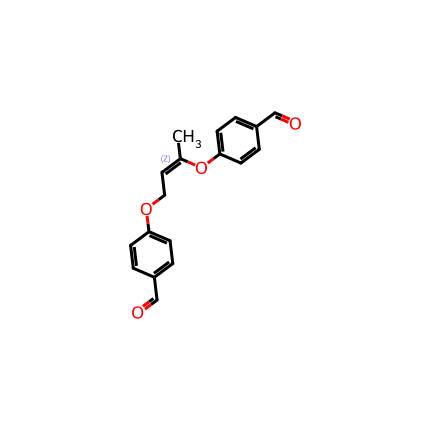 C/C(=C/COc1ccc(C=O)cc1)Oc1ccc(C=O)cc1